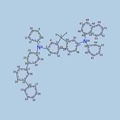 CC1(C)c2cc(N(c3ccccc3)c3ccc(-c4cccc(-c5ccccc5)c4)cc3)ccc2-c2ccc(N(c3ccccc3)c3cccc4ccccc34)cc21